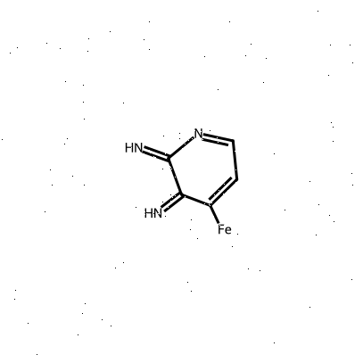 N=C1N=CC=[C]([Fe])C1=N